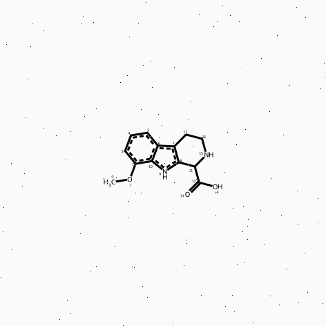 COc1cccc2c3c([nH]c12)C(C(=O)O)NCC3